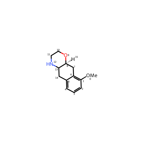 COc1cccc2c1C[C@@H]1OCCNC1C2